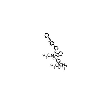 CCOC(=O)c1c(-c2ccc(C(C)(C)C)cc2)c2ccccc2n1Cc1cccc(-c2ccc(OCc3ccccc3)cc2)c1